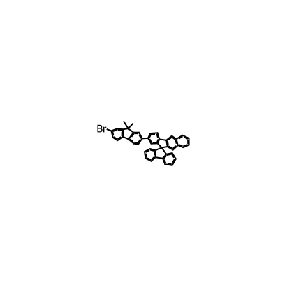 CC1(C)c2cc(Br)ccc2-c2ccc(-c3ccc4c(c3)C3(c5ccccc5-c5ccccc53)c3cc5ccccc5cc3-4)cc21